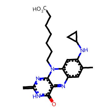 C=c1nc2c(c(=O)[nH]1)=Nc1cc(C)c(NC3CC3)cc1N2CCCCCCC(=O)O